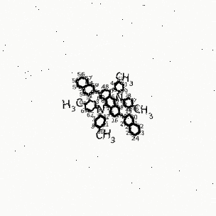 CC1=CCC(N(c2ccc(C)cc2)c2c3ccc(-c4ccc5ccccc5c4)cc3c(N(c3ccc(C)cc3)c3ccc(C)cc3)c3ccc(-c4ccc5ccccc5c4)cc23)C=C1